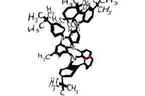 Cc1cc2c3c(c1)N(c1ccc(C(C)(C)C)cc1-c1ccccc1)c1ccccc1B3c1ccc(N3c4ccc(C(C)(C)C)cc4C4(C)C(C)(C)CCC(C)(C)C34C)cc1N2c1ccc(C(C)(C)C)cc1